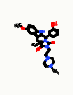 COc1ccc2[nH]c3c(c2c1)C[C@@]1(C)C(=O)N(CCN2CCN(C)CC2)C(=O)N1[C@@H]3c1cccc(O)c1